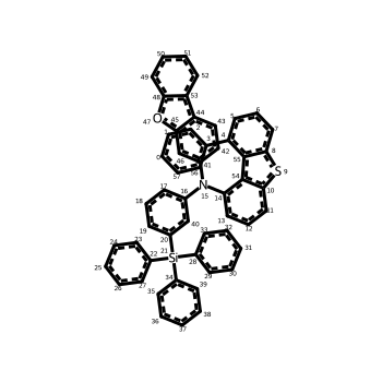 c1ccc(-c2cccc3sc4cccc(N(c5cccc([Si](c6ccccc6)(c6ccccc6)c6ccccc6)c5)c5ccc6c(c5)oc5ccccc56)c4c23)cc1